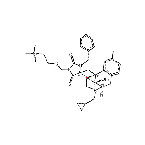 Cc1ccc2c(c1)[C@]13CCN(CC4CC4)[C@H](C2)[C@]1(O)CC[C@]1(C3)C(=O)N(COCC[Si](C)(C)C)C(=O)N1Cc1ccccc1